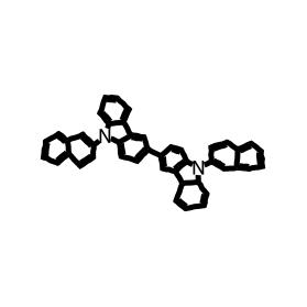 C1=CC2c3cc(-c4ccc5c(c4)c4ccccc4n5-c4ccc5ccccc5c4)ccc3N(c3ccc4ccccc4c3)C2C=C1